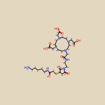 NCCCCCNC(=O)CSC1CC(=O)N(CCNC(=O)CN2CCN(CC(=O)O)CCN(CC(=O)O)CCN(CC(=O)O)CC2)C1=O